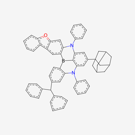 c1ccc(C(c2ccccc2)c2ccc3c(c2)N(c2ccccc2)c2cc(C45CC6CC(CC(C6)C4)C5)cc4c2B3c2cc3c(cc2N4c2ccccc2)oc2ccccc23)cc1